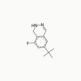 CC(C)(C)c1cc(F)c2c(c1)C=NNC2